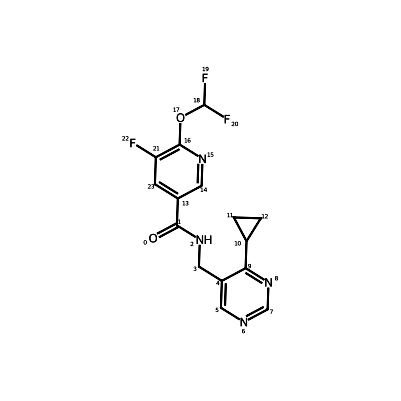 O=C(NCc1cncnc1C1CC1)c1cnc(OC(F)F)c(F)c1